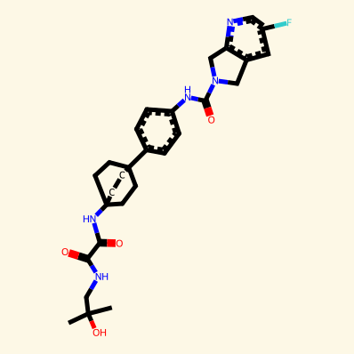 CC(C)(O)CNC(=O)C(=O)NC12CCC(c3ccc(NC(=O)N4Cc5cc(F)cnc5C4)cc3)(CC1)CC2